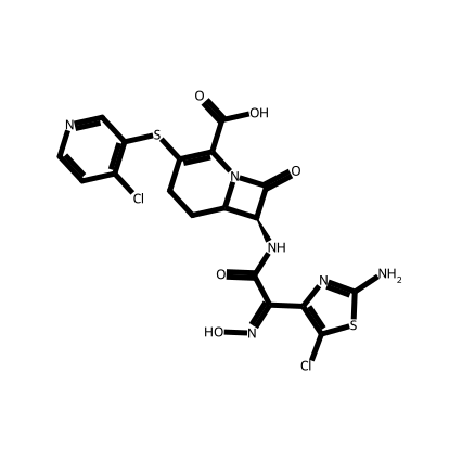 Nc1nc(/C(=N/O)C(=O)N[C@@H]2C(=O)N3C(C(=O)O)=C(Sc4cnccc4Cl)CCC23)c(Cl)s1